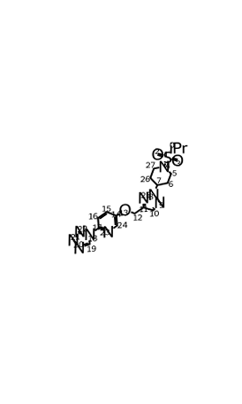 CC(C)S(=O)(=O)N1CCC(n2ncc(COc3ccc(-n4cnnn4)nc3)n2)CC1